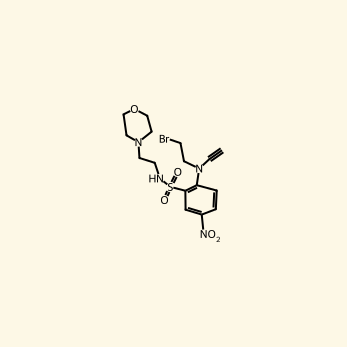 C#CN(CCBr)c1ccc([N+](=O)[O-])cc1S(=O)(=O)NCCN1CCOCC1